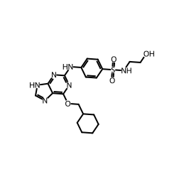 O=S(=O)(NCCO)c1ccc(Nc2nc(OCC3CCCCC3)c3nc[nH]c3n2)cc1